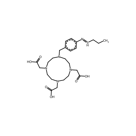 CCC[SH]=Nc1ccc(CN2CCN(CC(=O)O)CCN(CC(=O)O)CCN(CC(=O)O)CC2)cc1